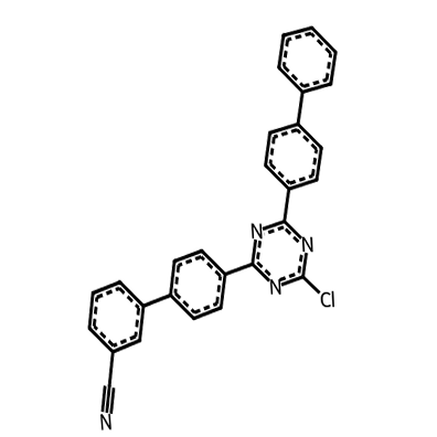 N#Cc1cccc(-c2ccc(-c3nc(Cl)nc(-c4ccc(-c5ccccc5)cc4)n3)cc2)c1